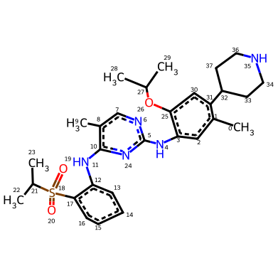 Cc1cc(Nc2ncc(C)c(Nc3ccccc3S(=O)(=O)C(C)C)n2)c(OC(C)C)cc1C1CCNCC1